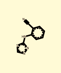 N#Cc1ccccc1Nc1nncs1